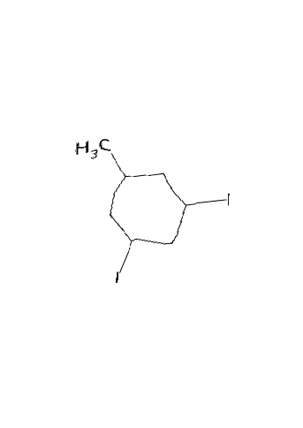 CC1CC(I)CC(I)C1